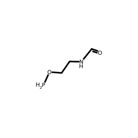 O=CNCCOP